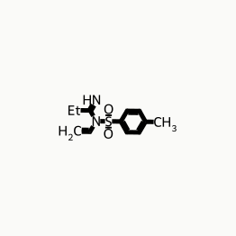 C=CN(C(=N)CC)S(=O)(=O)c1ccc(C)cc1